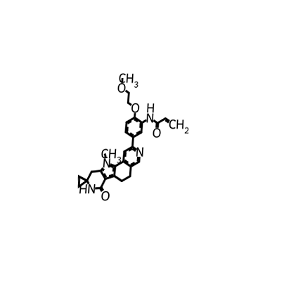 C=CC(=O)Nc1cc(-c2cc3c(cn2)CCc2c4c(n(C)c2-3)CC2(CC2)NC4=O)ccc1OCCOC